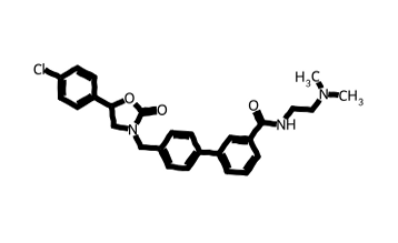 CN(C)CCNC(=O)c1cccc(-c2ccc(CN3CC(c4ccc(Cl)cc4)OC3=O)cc2)c1